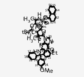 CCOc1nc(NC(c2ccccc2)(c2ccccc2)c2ccc(OC)cc2)nc2c1ncn2[C@@H]1O[C@](F)(COP(=O)(N[C@@H](C)C(=O)OCC(C)(C)C)Oc2cccc3ccccc23)[C@@H](C)[C@@]1(C)F